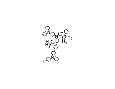 CC1(C)c2ccccc2-c2ccc(N(c3ccc(-n4c5ccccc5c5ccccc54)cc3)c3ccc4c(c3)C(C)(C)c3cc(-c5ccc6c(c5)c5ccccc5n6-c5ccc(F)cc5)ccc3-4)cc21